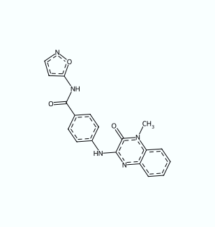 Cn1c(=O)c(Nc2ccc(C(=O)Nc3ccno3)cc2)nc2ccccc21